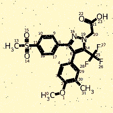 COc1ccc(-c2c(-c3ccc(S(C)(=O)=O)cc3)nn(CC(=O)O)c2C(F)(F)F)cc1C